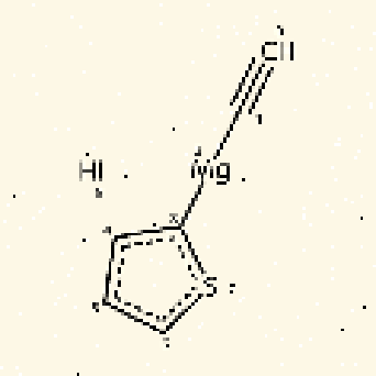 C#[C][Mg][c]1cccs1.I